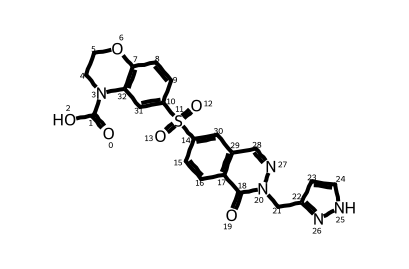 O=C(O)N1CCOc2ccc(S(=O)(=O)c3ccc4c(=O)n(Cc5cc[nH]n5)ncc4c3)cc21